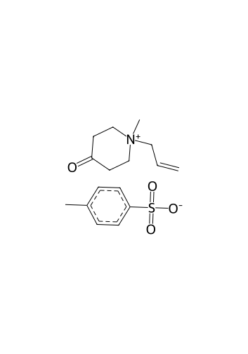 C=CC[N+]1(C)CCC(=O)CC1.Cc1ccc(S(=O)(=O)[O-])cc1